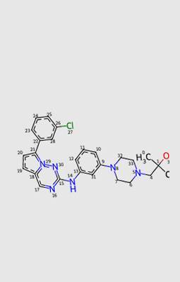 CC(C)(O)CN1CCN(c2cccc(Nc3ncc4ccc(-c5cccc(Cl)c5)n4n3)c2)CC1